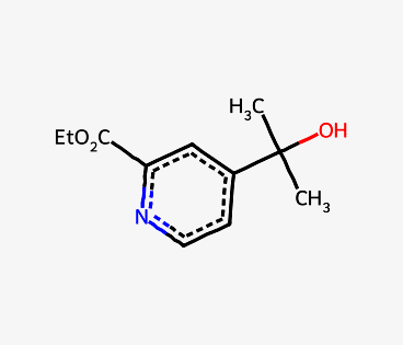 CCOC(=O)c1cc(C(C)(C)O)ccn1